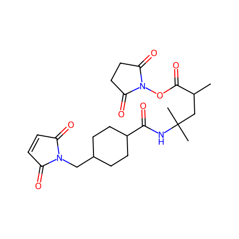 CC(CC(C)(C)NC(=O)C1CCC(CN2C(=O)C=CC2=O)CC1)C(=O)ON1C(=O)CCC1=O